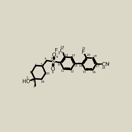 CC1(O)CCC(CS(=O)(=O)c2ccc(-c3ccc(C#N)cc3F)cc2C(F)(F)F)CC1